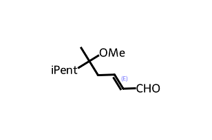 CCCC(C)C(C)(C/C=C/C=O)OC